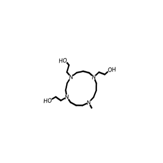 CN1CCCN(CCO)CCCN(CCO)CCN(CCO)CCC1